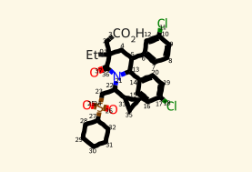 CCC1(CC(=O)O)CC(c2cccc(Cl)c2)C(c2ccc(Cl)cc2)N(C(CS(=O)(=O)C2CCCCC2)C2CC2)C1=O